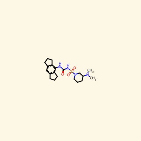 CN(C)C1CCCN(S(=O)(=O)NC(=O)Nc2c3c(cc4c2CCC4)CCC3)C1